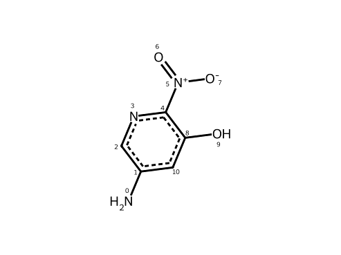 Nc1cnc([N+](=O)[O-])c(O)c1